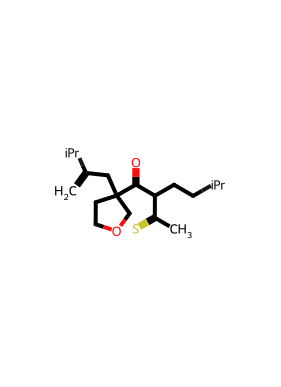 C=C(CC1(C(=O)C(CCC(C)C)C(C)=S)CCOC1)C(C)C